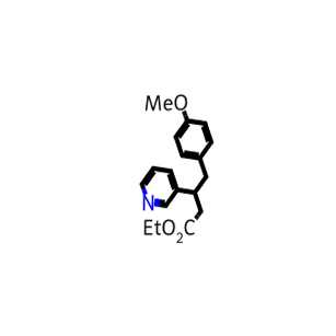 CCOC(=O)CC(Cc1ccc(OC)cc1)c1cccnc1